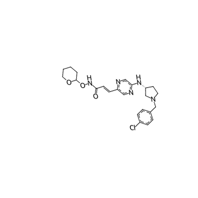 O=C(C=Cc1cnc(N[C@@H]2CCN(Cc3ccc(Cl)cc3)C2)cn1)NOC1CCCCO1